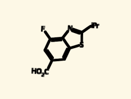 CC(C)c1nc2c(F)cc(C(=O)O)cc2s1